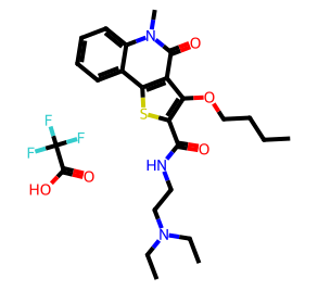 CCCCOc1c(C(=O)NCCN(CC)CC)sc2c1c(=O)n(C)c1ccccc21.O=C(O)C(F)(F)F